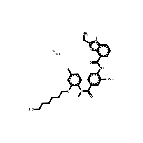 COc1cc(C(=O)N(C)c2ccc(C)cc2OCCCCCCO)ccc1NC(=O)c1cccc2[nH]c(CN)nc12.Cl.Cl